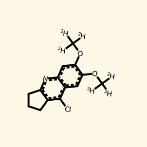 [2H]C([2H])([2H])Oc1cc2nc3c(c(Cl)c2cc1OC([2H])([2H])[2H])CCC3